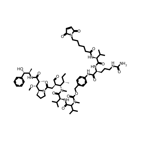 CC[C@H](C)[C@@H]([C@H](C=O)CC(=O)N1CCC[C@H]1[C@H](OC)[C@@H](C)C(=O)N[C@H](C)[C@@H](O)c1ccccc1)N(C)C(=O)[C@@H](NC(=O)C(C(C)C)N(C)C(=O)OCc1ccc(NC(=O)[C@H](CCCNC(N)=O)NC(=O)[C@@H](NC(=O)CCCCCN2C(=O)C=CC2=O)C(C)C)cc1)C(C)C